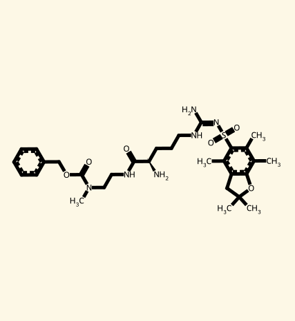 Cc1c(C)c(S(=O)(=O)/N=C(/N)NCCC[C@@H](N)C(=O)NCCN(C)C(=O)OCc2ccccc2)c(C)c2c1OC(C)(C)C2